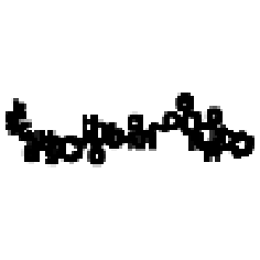 COc1cc2c(cc1OCCCC(=O)Nc1cc(C(=O)Nc3ccc4sc(C(=O)NCC(C)(C)SSC)cc4c3)n(C)c1)N=C[C@@H]1Cc3ccccc3CN1C2=O